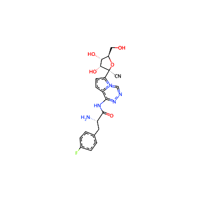 N#C[C@@]1(c2ccc3c(NC(=O)[C@@H](N)Cc4ccc(F)cc4)nncn23)O[C@H](CO)[C@@H](O)[C@H]1O